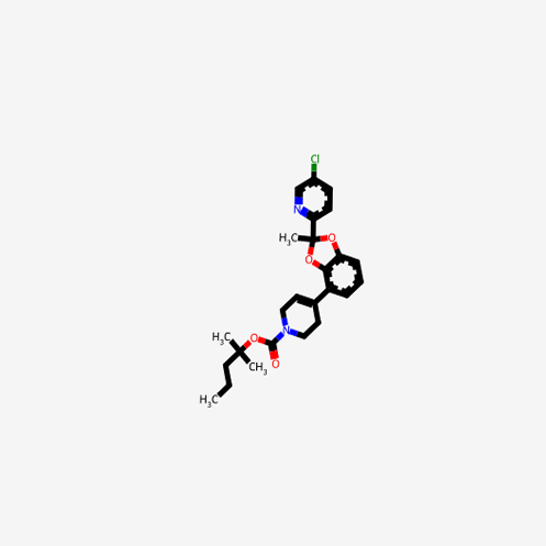 CCCC(C)(C)OC(=O)N1CC=C(c2cccc3c2OC(C)(c2ccc(Cl)cn2)O3)CC1